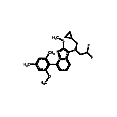 COc1cc(C)cc(C)c1-c1cccc2c(N(CC(F)F)CC3CC3)c(SC)nn12